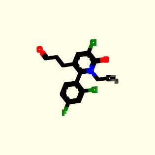 CCn1c(-c2ccc(F)cc2Cl)c(CCC=O)cc(Cl)c1=O